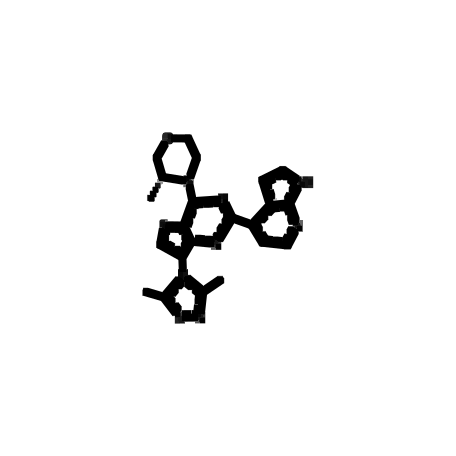 Cc1nnc(C)n1-c1csc2c(N3CCOC[C@H]3C)nc(-c3ccnc4[nH]ccc34)nc12